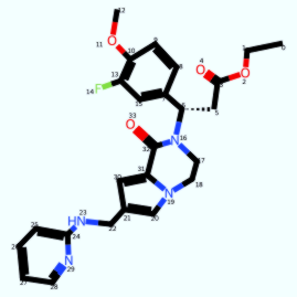 CCOC(=O)C[C@@H](c1ccc(OC)c(F)c1)N1CCn2cc(CNc3ccccn3)cc2C1=O